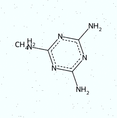 C.Nc1nc(N)nc(N)n1